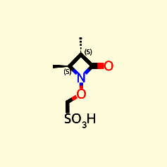 C[C@@H]1C(=O)N(OCS(=O)(=O)O)[C@H]1C